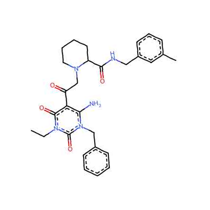 CCn1c(=O)c(C(=O)CN2CCCCC2C(=O)NCc2cccc(C)c2)c(N)n(Cc2ccccc2)c1=O